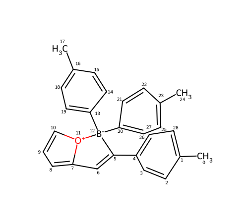 Cc1ccc(C2=Cc3ccc[o+]3[B-]2(c2ccc(C)cc2)c2ccc(C)cc2)cc1